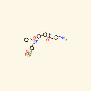 NCC1CCC(CNC(=O)c2cccc(-c3cccc(CN(CCc4ccc(OC(=O)C(F)(F)F)cc4)C(=O)/C=C/c4ccccc4)c3)c2)CC1